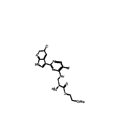 CCCC[C@@H](CNc1nc(-c2c[nH]c3c2=CC(Cl)CN=3)ncc1F)C(=O)OCCOC